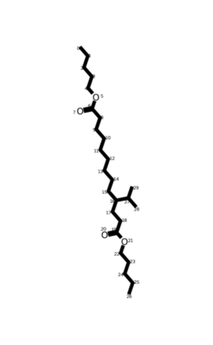 CCCCCOC(=O)CCCCCCCCC(CCC(=O)OCCCCC)C(C)C